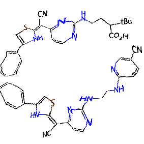 CC(C)(C)C(CCNc1nccc(C(C#N)=C2NC(c3ccccc3)=CS2)n1)C(=O)O.N#CC(=C1NC(c2ccccc2)=CS1)c1ccnc(NCCNc2ccc(C#N)cn2)n1